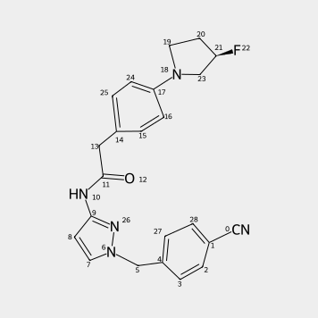 N#Cc1ccc(Cn2ccc(NC(=O)Cc3ccc(N4CC[C@@H](F)C4)cc3)n2)cc1